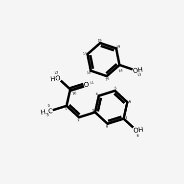 CC(=Cc1cccc(O)c1)C(=O)O.Oc1ccccc1